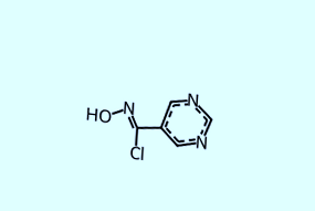 O/N=C(\Cl)c1cncnc1